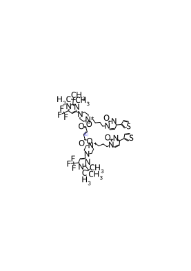 CC(C)(C)c1nc(N2CC[N+](CCCCn3ccc(-c4ccsc4)nc3=O)(OC(=O)/C=C/C(=O)O[N+]3(CCCCn4ccc(-c5ccsc5)nc4=O)CCN(c4cc(C(F)(F)F)nc(C(C)(C)C)n4)CC3)CC2)cc(C(F)(F)F)n1